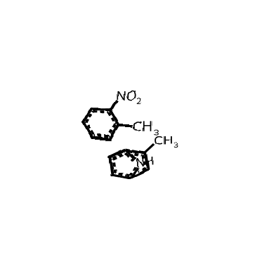 Cc1cc2ccc1[nH]2.Cc1ccccc1[N+](=O)[O-]